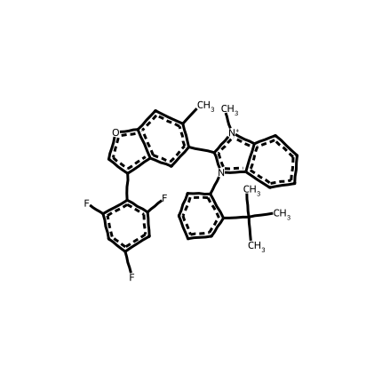 Cc1cc2occ(-c3c(F)cc(F)cc3F)c2cc1-c1n(-c2ccccc2C(C)(C)C)c2ccccc2[n+]1C